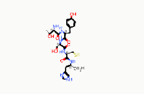 C[C@@H](O)[C@H](N)C(=O)N[C@@H](Cc1ccc(O)cc1)C(=O)N[C@@H](CO)C(=O)N[C@@H](CS)C(=O)N[C@@H](Cc1c[nH]cn1)C(=O)O